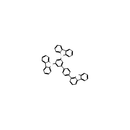 c1ccc2c(c1)sc1c(-c3ccc(-c4cc(-n5c6ccccc6c6ccccc65)cc(-n5c6ccccc6c6ccccc65)c4)cc3)cccc12